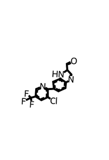 O=CC1C=Nc2ccc(-c3ncc(C(F)(F)F)cc3Cl)cc2N1